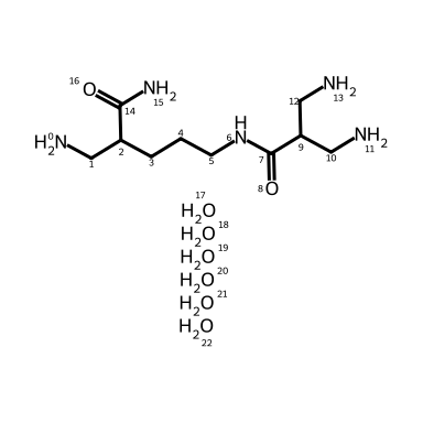 NCC(CCCNC(=O)C(CN)CN)C(N)=O.O.O.O.O.O.O